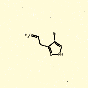 C=CCc1n[nH]cc1Br